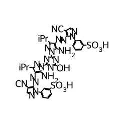 [C-]#[N+]c1cnn(-c2cccc(S(=O)(=O)O)c2)c1N=Nc1c(C(C)C)nn(-c2nc(O)nc(-n3nc(C(C)C)c(N=Nc4c(C#N)cnn4-c4cccc(S(=O)(=O)O)c4)c3N)n2)c1N